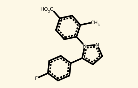 Cc1cc(C(=O)O)ccc1-n1nccc1-c1ccc(F)cc1